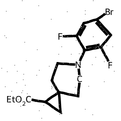 CCOC(=O)C1CC12CCN(c1c(F)cc(Br)cc1F)CC2